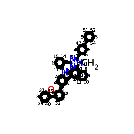 C=N/C(=N\C(=N/Cc1ccccc1)c1ccccc1-n1c2ccccc2c2cc(-c3cccc4c3oc3ccccc34)ccc21)c1ccc(-c2ccccc2)cc1